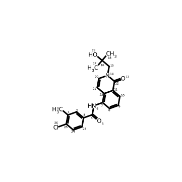 Cc1cc(C(=O)Nc2cccc3c(=O)n(CC(C)(C)O)ccc23)ccc1Cl